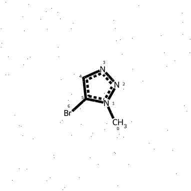 Cn1nncc1Br